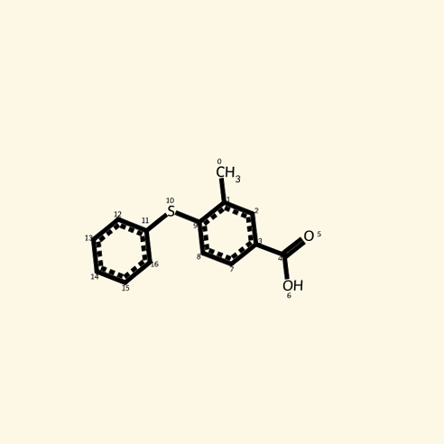 Cc1cc(C(=O)O)ccc1Sc1ccccc1